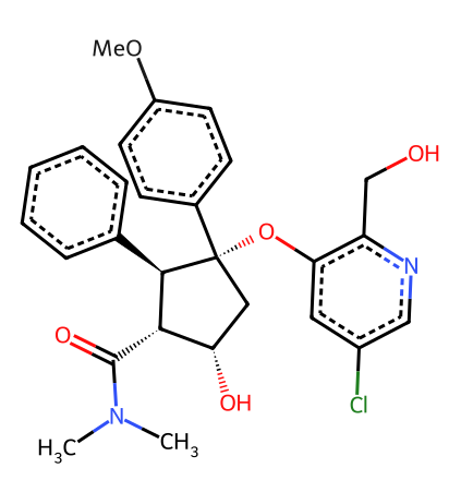 COc1ccc([C@@]2(Oc3cc(Cl)cnc3CO)C[C@H](O)[C@H](C(=O)N(C)C)[C@H]2c2ccccc2)cc1